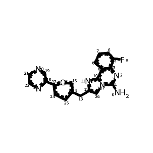 Nc1nc2c(F)cccc2c2nc(Cc3ccc(-c4cnccn4)cc3)cn12